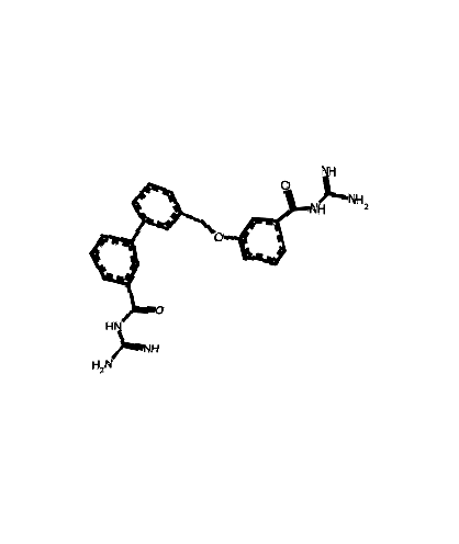 N=C(N)NC(=O)c1cccc(OCc2cccc(-c3cccc(C(=O)NC(=N)N)c3)c2)c1